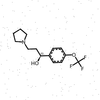 O[C@@H](CCN1CCCC1)c1ccc(OC(F)(F)F)cc1